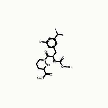 COC(=O)C1CCCN(C(=O)C(Cc2cc(Br)cc(C(F)F)c2)NC(=O)OC(C)(C)C)N1